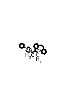 Cc1c(C(C)N2CCN(c3ccccc3)CC2)c2cccc3c2n1-c1ccccc1CC3